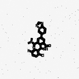 CN(C)C(=O)c1cc(-c2ccc3ncnn3c2)cc2c1C(c1cc(F)ccc1Cl)NC2=O